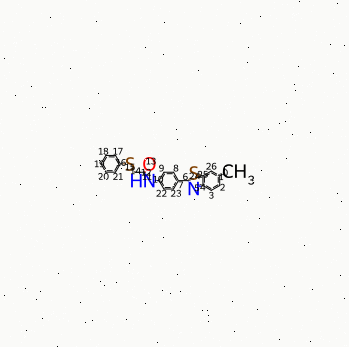 Cc1ccc2nc(-c3ccc(NC(=O)CSc4ccccc4)cc3)sc2c1